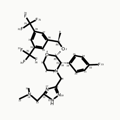 C[C@@H](O[C@H]1OCCN(Cc2n[nH]c(CN(C)C)n2)[C@H]1c1ccc(F)cc1)c1cc(C(F)(F)F)cc(C(F)(F)F)c1